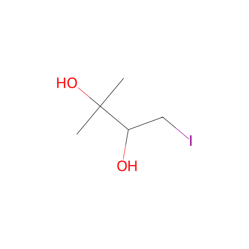 CC(C)(O)C(O)CI